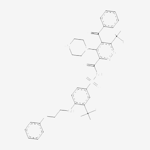 O=C(NS(=O)(=O)c1ccc(NCCSc2ccccc2)c(C(F)(F)F)c1)c1nnc(C(F)(F)F)c(C(=O)c2ccccc2)c1N1CCNCC1